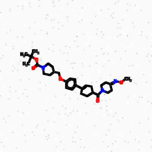 CON=C1CCN(C(=O)C2CC=C(c3ccc(OCC4CCN(C(=O)OC(C)(C)C)CC4)cc3)CC2)CC1